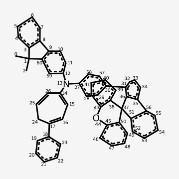 CC1(C)c2ccccc2-c2ccc(N(C3=CC=C(c4ccccc4)CC=C3)c3ccc(-c4cccc5c4C4(c6ccccc6Oc6ccccc64)c4ccccc4-5)cc3)cc21